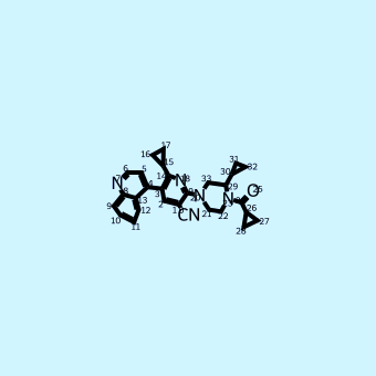 N#Cc1cc(-c2ccnc3ccccc23)c(C2CC2)nc1N1CCN(C(=O)C2CC2)C(C2CC2)C1